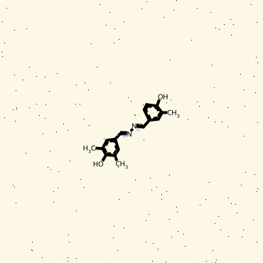 Cc1cc(/C=N/N=C/c2cc(C)c(O)c(C)c2)ccc1O